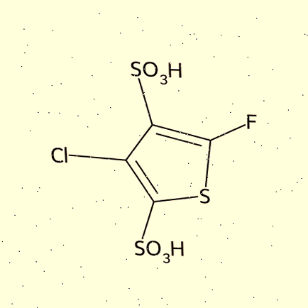 O=S(=O)(O)c1sc(F)c(S(=O)(=O)O)c1Cl